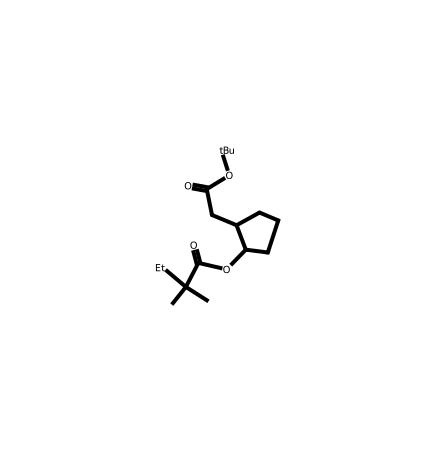 CCC(C)(C)C(=O)OC1CCCC1CC(=O)OC(C)(C)C